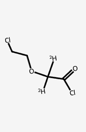 [2H]C([2H])(OCCCl)C(=O)Cl